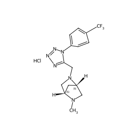 CN1C[C@@H]2C[C@H]1CN2Cc1nnnn1-c1ccc(C(F)(F)F)cc1.Cl